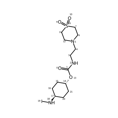 O=C(NCCN1CCS(=O)(=O)CC1)O[C@H]1CC[C@H](NI)CC1